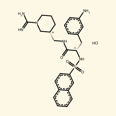 Cl.N=C(N)N1CCC[C@H](CNC(=O)[C@H](Cc2cccc(N)c2)NS(=O)(=O)c2ccc3ccccc3c2)C1